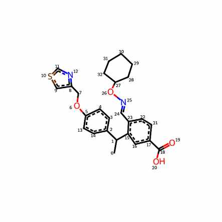 CC(c1ccc(OCc2cscn2)cc1)c1cc(C(=O)O)ccc1C=NOC1CCCCC1